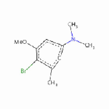 COc1cc(N(C)C)cc(C)c1Br